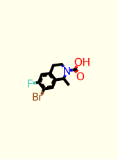 CC1c2cc(Br)c(F)cc2CCN1C(=O)O